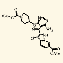 COC(=O)c1ccc2c(Cl)c(-c3nn(C4CCN(C(=O)OC(C)(C)C)CC4)c4ncnc(N)c34)[nH]c2c1